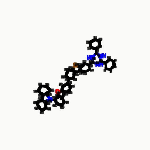 C1=CCCC(C2NC(c3ccccc3)NC(C3C=c4sc5ccc(-c6ccc7c(c6)oc6c(-n8c9ccccc9c9ccccc98)cccc67)cc5c4=CC3)N2)=C1